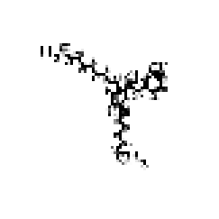 C#CC(I)[N+](CCCCCCCCC)(CCCCCCCCC)C(Cl)Cc1ccccc1.[Cl-]